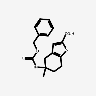 CC1(NC(=O)OCc2ccccc2)CCc2sc(C(=O)O)cc2C1